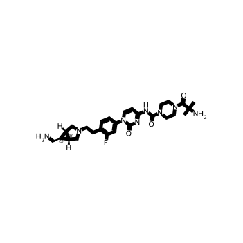 CC(C)(N)C(=O)N1CCN(C(=O)Nc2ccn(-c3ccc(CCN4C[C@@H]5[C@@H](CN)[C@@H]5C4)c(F)c3)c(=O)n2)CC1